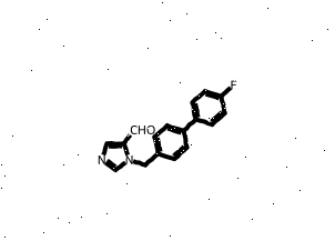 O=Cc1cncn1Cc1ccc(-c2ccc(F)cc2)cc1